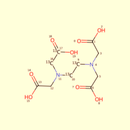 O=C(O)CN(CC(=O)O)[13CH2][13CH2]N(CC(=O)O)[13CH2][13C](=O)O